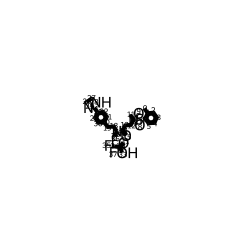 Cc1ccccc1S(=O)(=O)N(C)CCC(=O)N(C)CCc1ccc(C2=NCCN2)cc1.O=C(O)C(F)(F)F